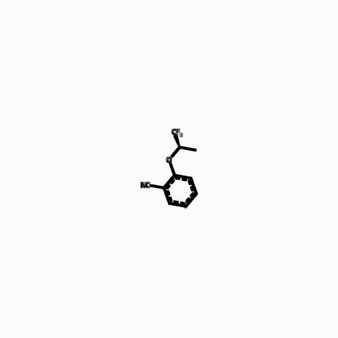 C[C@@H](Oc1cc[c]cc1C#N)C(F)(F)F